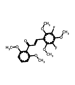 COc1cccc(OC)c1C(=O)C=Cc1c(OC)c(F)c(OC)c(F)c1OC